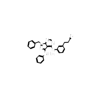 N#CCCc1cccc(Nc2ncnc3c2c(Nc2ccccc2)nn3Cc2ccccc2)c1